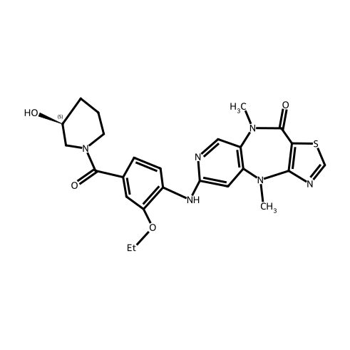 CCOc1cc(C(=O)N2CCC[C@H](O)C2)ccc1Nc1cc2c(cn1)N(C)C(=O)c1scnc1N2C